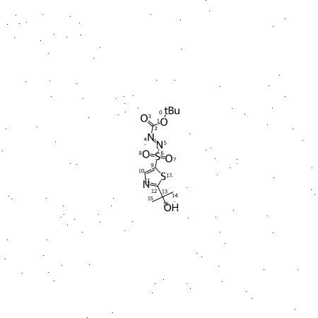 CC(C)(C)OC(=O)N=NS(=O)(=O)c1cnc(C(C)(C)O)s1